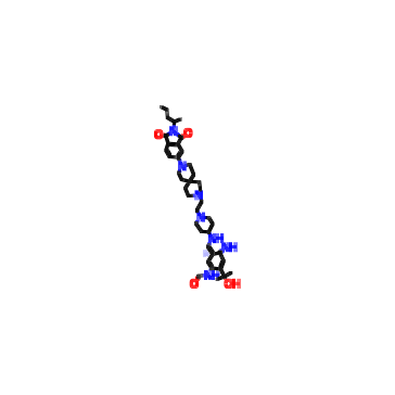 CCCC(C)N1C(=O)c2ccc(N3CCC4(CCN(CCN5CCC(N/C=C6/C=C(NC=O)C(C(C)(C)O)=CC6=N)CC5)CC4)CC3)cc2C1=O